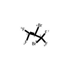 FC(F)=C(Br)C(F)(F)Br